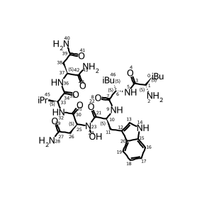 CC[C@H](C)[C@H](N)C(=O)N[C@H](C(=O)N[C@@H](Cc1c[nH]c2ccccc12)C(=O)N(O)[C@@H](CC(N)=O)C(=O)N[C@H](C(=O)N[C@@H](CC(N)=O)C(N)=O)C(C)C)[C@@H](C)CC